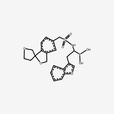 O=S(=O)(Cc1ccc2c(c1)COC21CCOC1)NC(Cc1coc2ccccc12)B(O)O